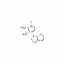 COc1c(Br)ccc(-c2cccc3ccccc23)c1C=O